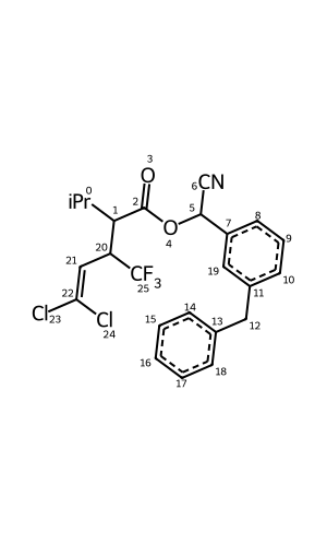 CC(C)C(C(=O)OC(C#N)c1cccc(Cc2ccccc2)c1)C(C=C(Cl)Cl)C(F)(F)F